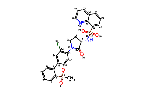 CS(=O)(=O)c1ccccc1-c1ccc(N2CC[C@H](NS(=O)(=O)c3cccc4cccnc34)C2=O)c(F)c1